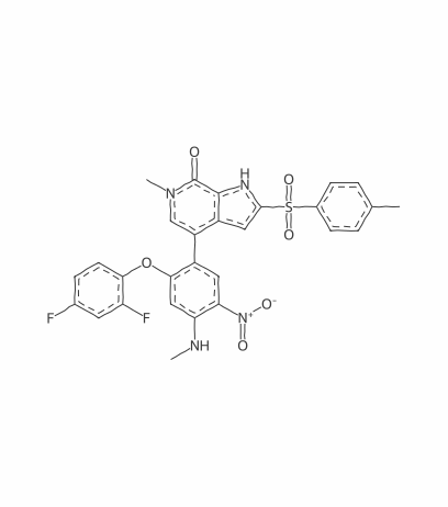 CNc1cc(Oc2ccc(F)cc2F)c(-c2cn(C)c(=O)c3[nH]c(S(=O)(=O)c4ccc(C)cc4)cc23)cc1[N+](=O)[O-]